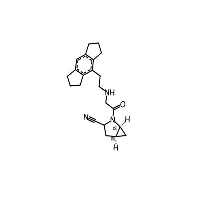 N#CC1C[C@@H]2C[C@@H]2N1C(=O)CNCCc1c2c(cc3c1CCC3)CCC2